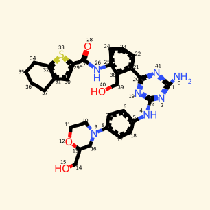 Nc1nc(Nc2ccc(N3CCOC(CO)C3)cc2)nc(-c2cccc(NC(=O)c3cc4c(s3)CCCC4)c2CO)n1